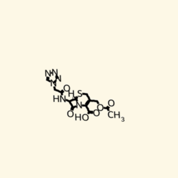 CC(=O)OCC1=C(C(=O)O)N2C(=O)C(NC(=O)Cn3cnnn3)[C@@H]2SC1